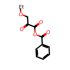 CCOCC(=O)C(=O)OC(=O)c1ccccc1